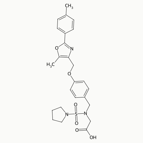 Cc1ccc(-c2nc(COc3ccc(CN(CC(=O)O)S(=O)(=O)N4CCCC4)cc3)c(C)o2)cc1